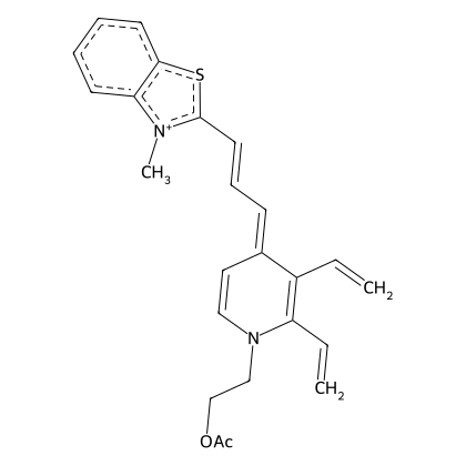 C=CC1=C(C=C)N(CCOC(C)=O)C=CC1=CC=Cc1sc2ccccc2[n+]1C